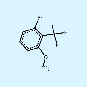 COc1cccc(Br)c1C(F)(F)F